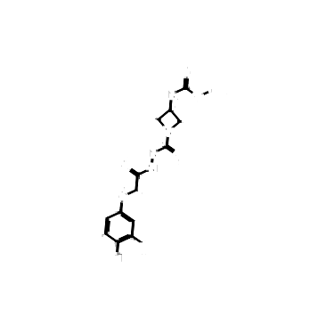 CC(C)(C)OC(=O)NC1CN(C(=O)NNC(=O)COc2ccc(Cl)c(F)c2)C1